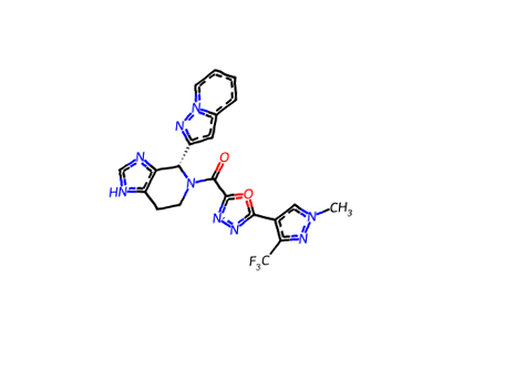 Cn1cc(-c2nnc(C(=O)N3CCc4[nH]cnc4[C@@H]3c3cc4ccccn4n3)o2)c(C(F)(F)F)n1